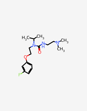 CC(C)N(CCOc1cccc(F)c1)C(=O)NCCN(C)C